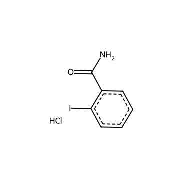 Cl.NC(=O)c1ccccc1I